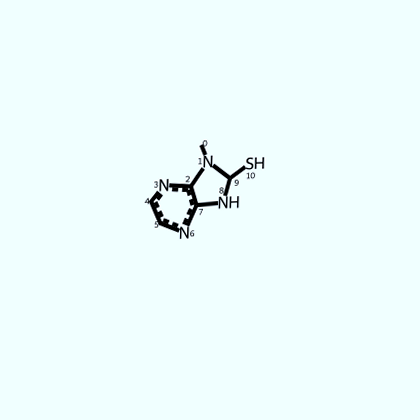 CN1c2nccnc2NC1S